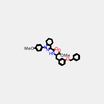 COC(=O)C(Cc1cccc(OCc2ccccc2)c1)NC(=O)c1nn(-c2ccc(OC)cc2)c2c1CCCC2